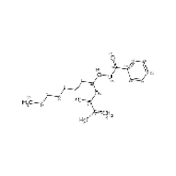 C=C(C)C(=O)OC(CCCCCCC)OOC(=O)c1ccccc1